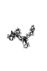 c1ccc(-c2cc(-c3ccc(-c4ccc5oc6ccccc6c5c4)cc3)nc(-c3ccc(-n4c(-c5ccccc5)nc5ccccc54)cc3)n2)cc1